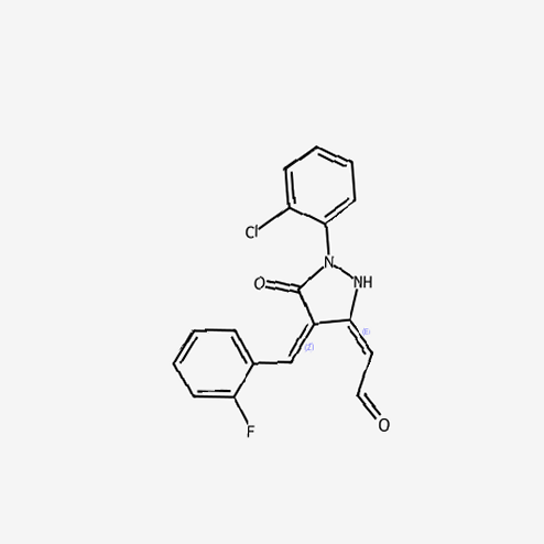 O=C/C=c1/[nH]n(-c2ccccc2Cl)c(=O)/c1=C\c1ccccc1F